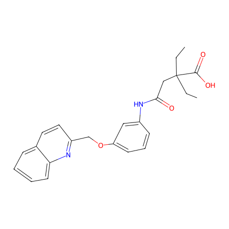 CCC(CC)(CC(=O)Nc1cccc(OCc2ccc3ccccc3n2)c1)C(=O)O